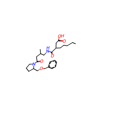 CCCCCC(CC(=O)O)C(=O)NCC(C)CC(=O)N1CCCC1COCc1ccccc1